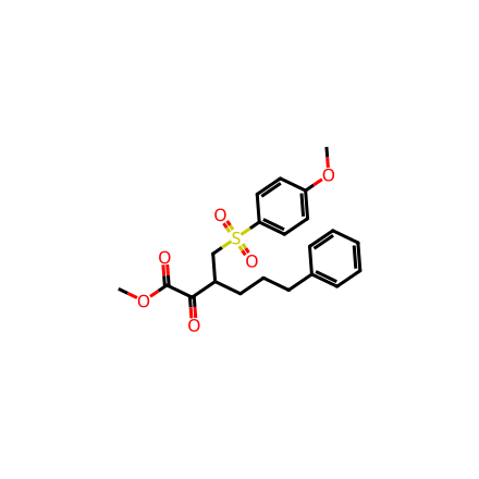 COC(=O)C(=O)C(CCCc1ccccc1)CS(=O)(=O)c1ccc(OC)cc1